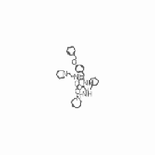 O=C(NCCN1CCCCC1)[C@H](Cc1ccc(OCc2ccccc2)cc1)NC(=O)[C@H](CC1CCCCC1)NC(=O)N1CCCCCC1